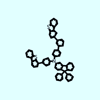 c1ccc(C2(c3ccccc3)c3ccccc3-c3cc(N(c4ccc(-c5cccc(-c6ccc7sc8ccccc8c7c6)c5)cc4)c4ccc(-c5cccc6c5sc5ccccc56)cc4)ccc32)cc1